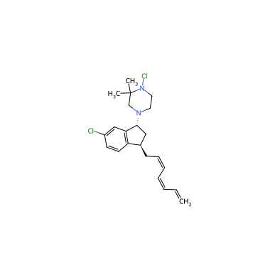 C=C/C=C\C=C/C[C@@H]1C[C@@H](N2CCN(Cl)C(C)(C)C2)c2cc(Cl)ccc21